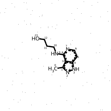 Cc1n[nH]c2ccnc(NCCCO)c12